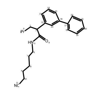 CC(C)CC(C(=O)NCCCCCC#N)c1cccc(-c2ccccc2)c1